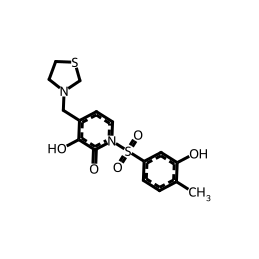 Cc1ccc(S(=O)(=O)n2ccc(CN3CCSC3)c(O)c2=O)cc1O